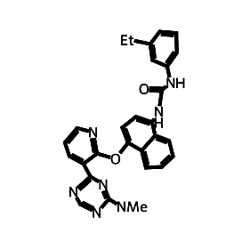 CCc1cccc(NC(=O)Nc2ccc(Oc3ncccc3-c3ncnc(NC)n3)c3ccccc23)c1